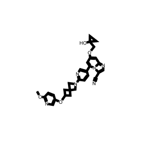 COc1ccc(OC2CC3(C2)CN(c2ccc(-c4cc(OCC5(O)CC5)cc5ncc(C#N)n45)cn2)C3)cn1